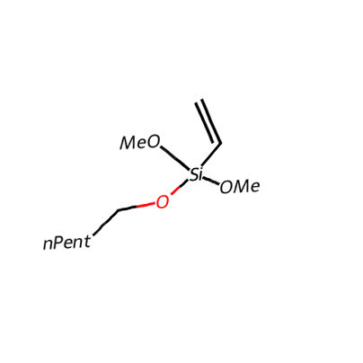 C=C[Si](OC)(OC)OCCCCCC